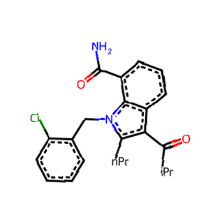 CCCc1c(C(=O)C(C)C)c2cccc(C(N)=O)c2n1Cc1ccccc1Cl